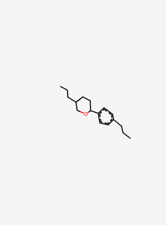 CCCc1ccc(C2CCC(CCC)CO2)cc1